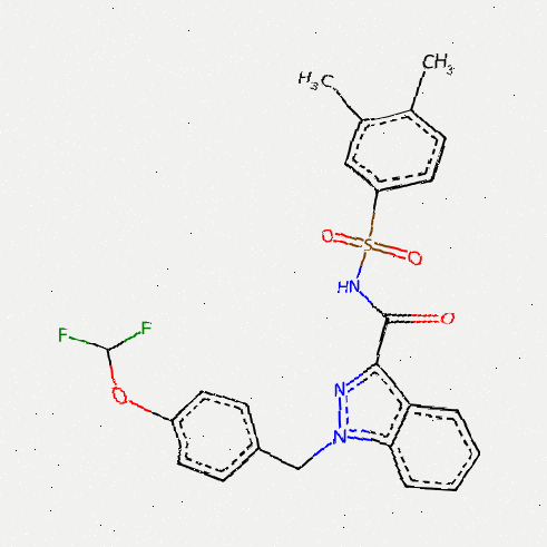 Cc1ccc(S(=O)(=O)NC(=O)c2nn(Cc3ccc(OC(F)F)cc3)c3ccccc23)cc1C